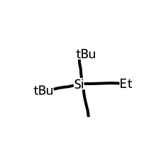 [CH2]C[Si](C)(C(C)(C)C)C(C)(C)C